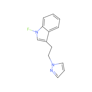 Fn1cc(CCn2cccn2)c2ccccc21